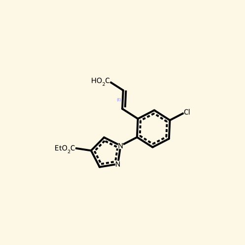 CCOC(=O)c1cnn(-c2ccc(Cl)cc2/C=C/C(=O)O)c1